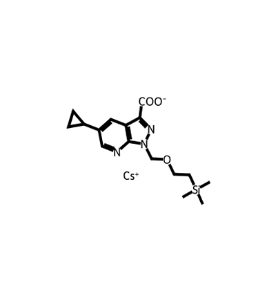 C[Si](C)(C)CCOCn1nc(C(=O)[O-])c2cc(C3CC3)cnc21.[Cs+]